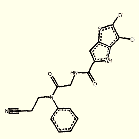 N#CCCN(C(=O)CNC(=O)c1cc2sc(Cl)c(Cl)c2[nH]1)c1ccccc1